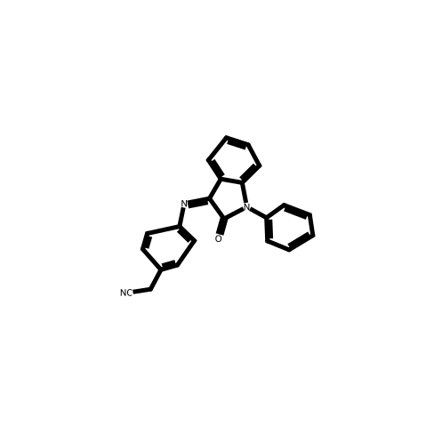 N#CCc1ccc(/N=C2\C(=O)N(c3ccccc3)c3ccccc32)cc1